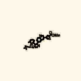 COC(=O)c1cc(-c2cnc3ccc(-c4ncn(COCCS(C)(C)C)c4-c4cccc(C)n4)cc3c2)cs1